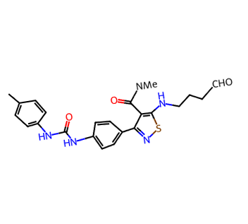 CNC(=O)c1c(-c2ccc(NC(=O)Nc3ccc(C)cc3)cc2)nsc1NCCCC=O